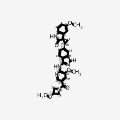 COc1ccc2c(c1)[C@]1(C[C@H]1c1ccc3c(Nc4ncc(C(=O)N5CC(OC)C5)cc4OC)n[nH]c3c1)C(=O)N2